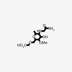 COC1C(COCC(=O)O)OC(C)C(NCC(N)=O)C1O